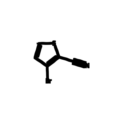 N#Cc1s[c]cc1Br